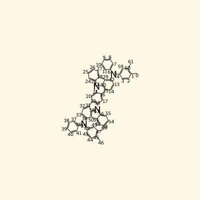 Cc1ccc(N(c2ccccc2)c2ccc3c4cc5c(cc4n4c6ccccc6c2c34)c2ccc(N(c3ccccc3)c3ccc(C)c(C)c3)c3c4ccccc4n5c23)cc1C